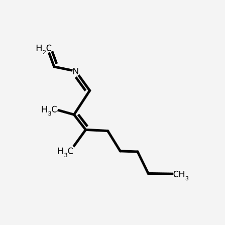 C=C/N=C\C(C)=C(\C)CCCCC